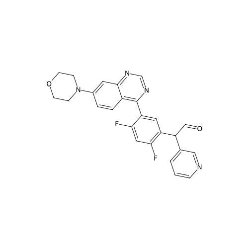 O=CC(c1cccnc1)c1cc(-c2ncnc3cc(N4CCOCC4)ccc23)c(F)cc1F